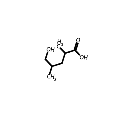 CC(CO)CC(C)C(=O)O